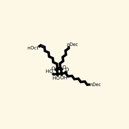 CCCCCCCC/C=C\CCCCCCCC(=O)C(O)(C(=O)CCCCCCCCCCCCCCCCC)C(O)(CO)C(=O)CCCCCCCCCCCCCCCCC